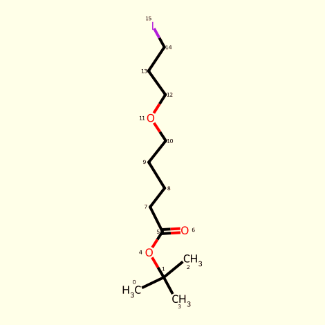 CC(C)(C)OC(=O)CCCCOCCCI